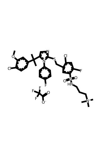 COc1cc(C(C)(C)c2cnc(SCc3cc(S(=O)(=O)NCCC[N+](C)(C)C)c(F)cc3Cl)n2-c2ccc(F)cc2)ccc1Cl.O=C([O-])C(F)(F)F